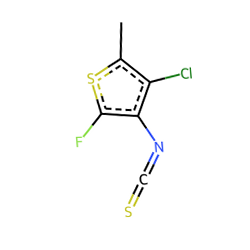 Cc1sc(F)c(N=C=S)c1Cl